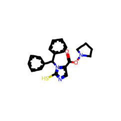 O=C(ON1CCCC1)c1cnc(S)n1C(c1ccccc1)c1ccccc1